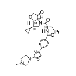 CC(C)C[C@H](NC(=O)c1ccc(-c2csc(N3CCN(C)CC3)n2)cc1)C(=O)N1C[C@@H](C2CC2)[C@H]2OCC(=O)[C@H]21